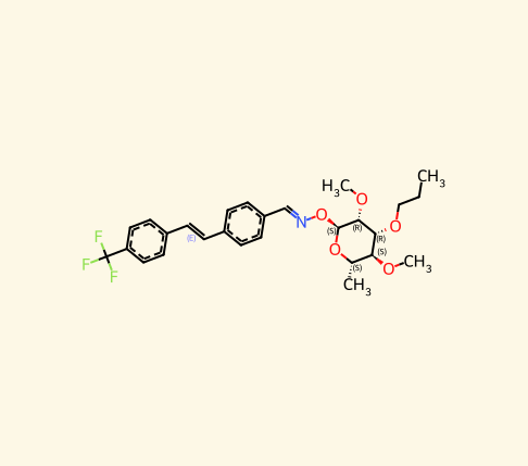 CCCO[C@@H]1[C@@H](OC)[C@H](C)O[C@@H](ON=Cc2ccc(/C=C/c3ccc(C(F)(F)F)cc3)cc2)[C@@H]1OC